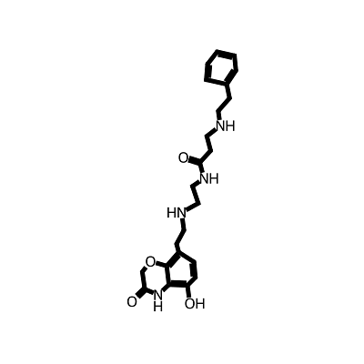 O=C(CCNCCc1ccccc1)NCCNCCc1ccc(O)c2c1OCC(=O)N2